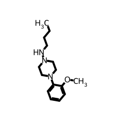 CCCCNN1CCN(c2ccccc2OC)CC1